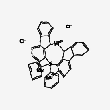 CC(C)(C)c1ccc2c3c1[Si](c1ccccc1)(c1ccccc1)c1c(C(C)(C)C)ccc4c1[CH]([Hf+2][CH]3c1ccccc1-2)c1ccccc1-4.[Cl-].[Cl-]